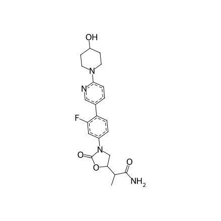 CC(C(N)=O)C1CN(c2ccc(-c3ccc(N4CCC(O)CC4)nc3)c(F)c2)C(=O)O1